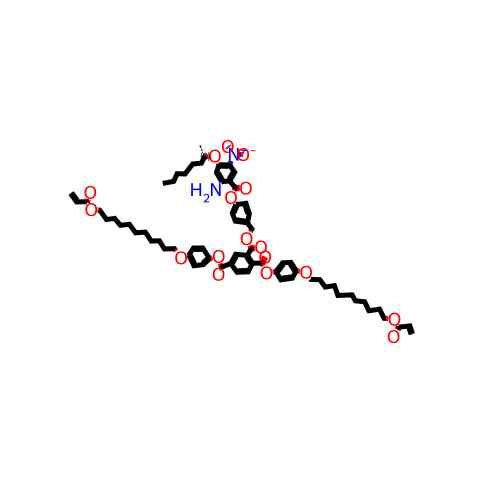 C=CC(=O)OCCCCCCCCCCCOc1ccc(OC(=O)c2ccc(C(=O)Oc3ccc(OCCCCCCCCCCCOC(=O)C=C)cc3)c(C(=O)OCc3ccc(OC(=O)c4cc([N+](=O)[O-])c(O[C@@H](C)CCCCCC)cc4N)cc3)c2)cc1